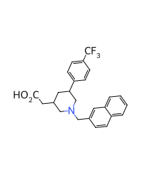 O=C(O)CC1CC(c2ccc(C(F)(F)F)cc2)CN(Cc2ccc3ccccc3c2)C1